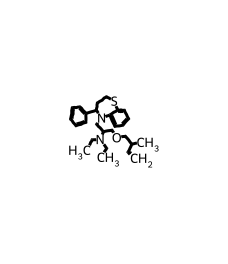 C=CC(C)COCC(CN1c2ccccc2SCCC1c1ccccc1)N(CC)CC